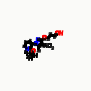 [2H]C([2H])([2H])Oc1ncccc1-n1nc(OCCCO)c([N+](=O)[O-])c1C